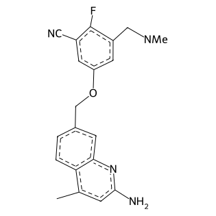 CNCc1cc(OCc2ccc3c(C)cc(N)nc3c2)cc(C#N)c1F